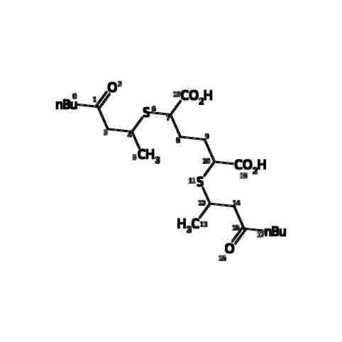 CCCCC(=O)CC(C)SC(CCC(SC(C)CC(=O)CCCC)C(=O)O)C(=O)O